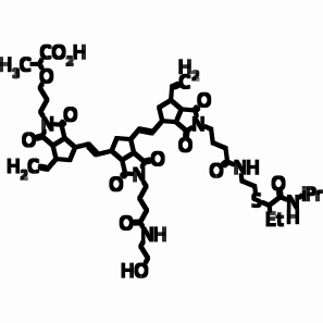 C=CC1CC(C=CC2CC(C=CC3CC(C=C)C4C(=O)N(CCCC(=O)NCCSC(CC)C(=O)NC(C)C)C(=O)C34)C3C(=O)N(CCCC(=O)NCCO)C(=O)C23)C2C(=O)N(CCCOC(C)C(=O)O)C(=O)C12